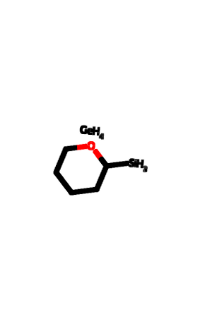 [GeH4].[SiH3]C1CCCCO1